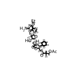 CCOc1nc(N)nc2c1ncn2[C@@H]1O[C@H](COP(=O)(NCc2ccccc2)OCCSC(=O)C(C)(C)COC(C)=O)[C@@H](O)[C@@]1(C)F